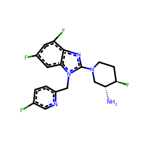 N[C@@H]1CN(c2nc3c(F)cc(F)cc3n2Cc2ccc(F)cn2)CC[C@H]1F